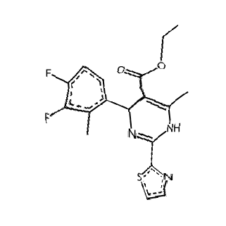 CCOC(=O)C1=C(C)NC(c2nccs2)=NC1c1ccc(F)c(F)c1C